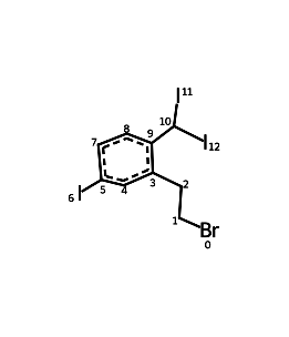 BrCCc1cc(I)ccc1C(I)I